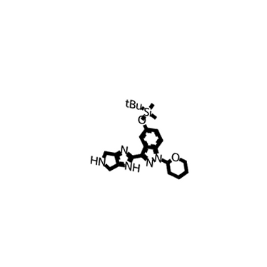 CC(C)(C)[Si](C)(C)Oc1ccc2c(c1)c(-c1nc3c([nH]1)CNC3)nn2C1CCCCO1